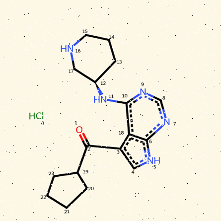 Cl.O=C(c1c[nH]c2ncnc(N[C@@H]3CCCNC3)c12)C1CCCC1